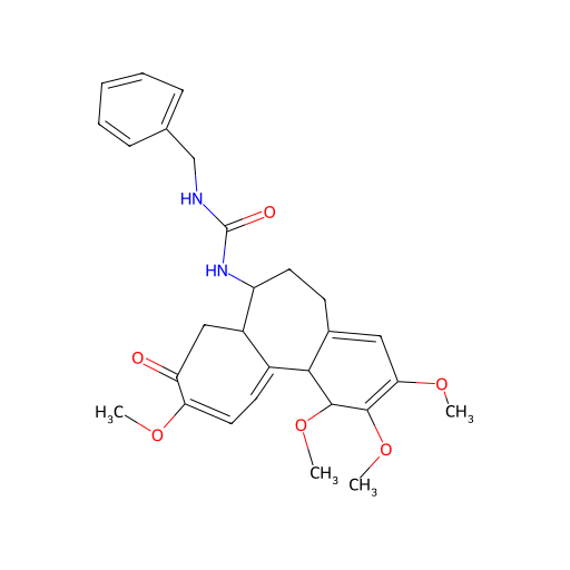 COC1=CC=C2C(CC1=O)C(NC(=O)NCc1ccccc1)CCC1=CC(OC)=C(OC)C(OC)C12